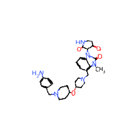 Cn1c(=O)n(C2C(=O)CCNC2=O)c2cccc(CN3CCC(OC4CCN(Cc5ccc(N)cc5)CC4)CC3)c21